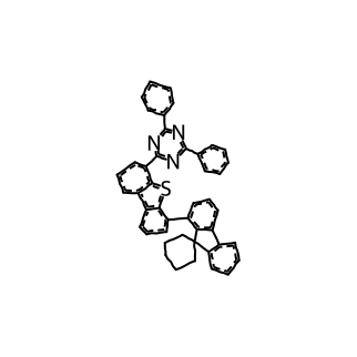 c1ccc(-c2nc(-c3ccccc3)nc(-c3cccc4c3sc3c(-c5cccc6c5C5(CCCCC5)c5ccccc5-6)cccc34)n2)cc1